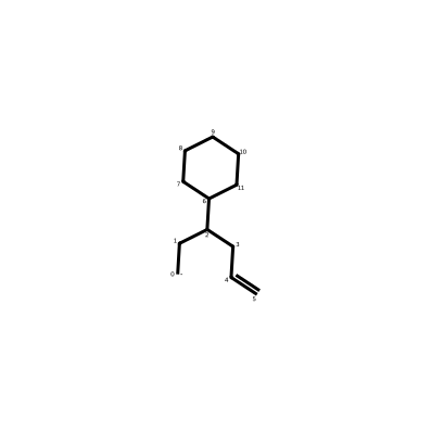 [CH2]CC(CC=C)C1CCCCC1